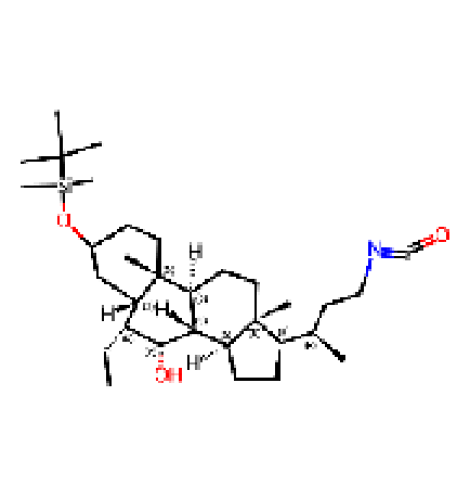 CC[C@H]1[C@@H](O)[C@@H]2[C@H](CC[C@]3(C)[C@@H]([C@H](C)CCN=C=O)CC[C@@H]23)[C@@]2(C)CCC(O[Si](C)(C)C(C)(C)C)C[C@@H]12